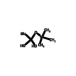 CC(C)(C)C(O)(O)O[Si](C)(C)C